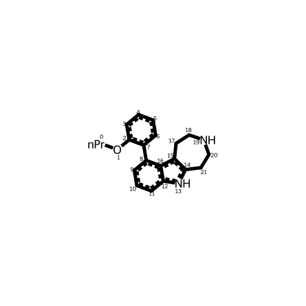 CCCOc1ccccc1-c1cccc2[nH]c3c(c12)CCNCC3